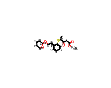 CCCCOC(=O)CC(=O)C(C)Sc1ccccc1CCOC1CCCCO1